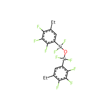 CCc1cc([Si](F)(F)O[Si](F)(F)c2cc(CC)c(F)c(F)c2F)c(F)c(F)c1F